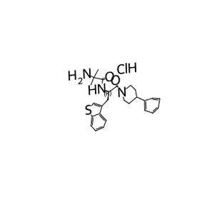 CC(C)(N)C(=O)N[C@H](Cc1csc2ccccc12)C(=O)N1CCC(c2ccccc2)CC1.Cl